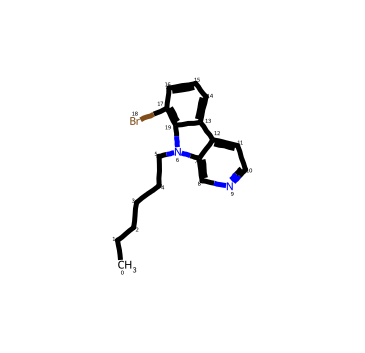 CCCCCCn1c2cnccc2c2cccc(Br)c21